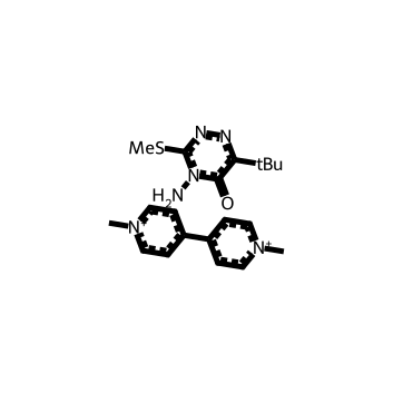 CSc1nnc(C(C)(C)C)c(=O)n1N.C[n+]1ccc(-c2cc[n+](C)cc2)cc1